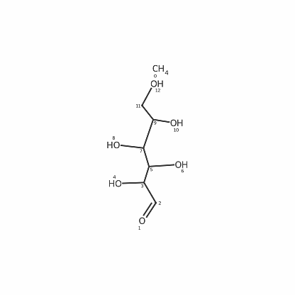 C.O=CC(O)C(O)C(O)C(O)CO